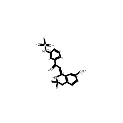 COc1ccc2c(c1)C(=CC(=O)c1cccc(NS(C)(=O)=O)c1)NC(C)(C)C2